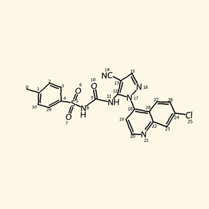 Cc1ccc(S(=O)(=O)NC(=O)Nc2c(C#N)cnn2-c2ccnc3cc(Cl)ccc23)cc1